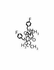 CC(C)C[C@H]1C(=O)N(Cc2ccc(F)cc2)C[C@H]2N1C(=O)CN(C)N2C(=O)NCc1ccc(F)cc1